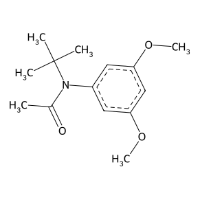 COc1cc(OC)cc(N(C(C)=O)C(C)(C)C)c1